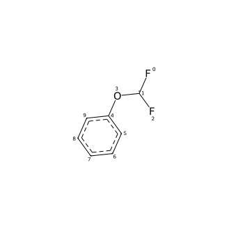 F[C](F)Oc1ccccc1